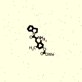 COC(=O)Oc1cc(C)c(CC(N)C(=O)N2CCc3ccccc32)c(C)c1